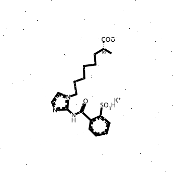 C[C@H](CCCCCCn1ccnc1NC(=O)c1ccccc1S(=O)(=O)O)C(=O)[O-].[K+]